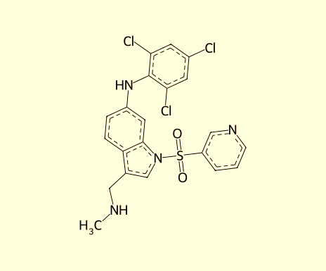 CNCc1cn(S(=O)(=O)c2cccnc2)c2cc(Nc3c(Cl)cc(Cl)cc3Cl)ccc12